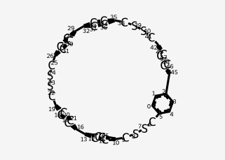 c1cc2ccc1CSSCc1ccc(cc1)-c1ccc(cc1)CSSCc1ccc(cc1)-c1ccc(cc1)CSSCc1ccc-2cc1